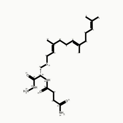 CC(C)=CCCC(C)=CCCC(C)=CCSC[C@H](NC(=O)CCC(N)=O)C(=O)NN